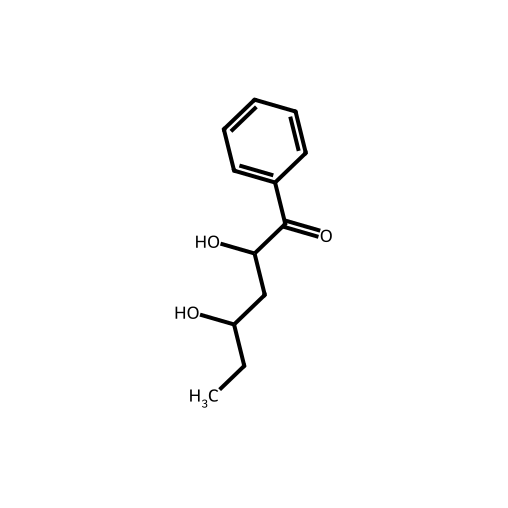 CCC(O)CC(O)C(=O)c1ccccc1